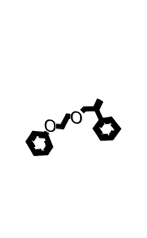 C=C(COCCOc1ccccc1)c1ccccc1